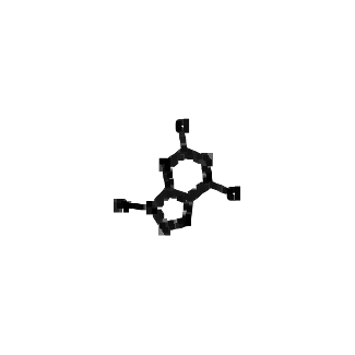 CC(C)n1ncc2c(Cl)nc(Cl)nc21